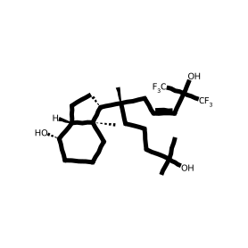 CC(C)(O)CCC[C@@](C)(C/C=C\C(O)(C(F)(F)F)C(F)(F)F)[C@H]1CC[C@H]2[C@@H](O)CCC[C@]12C